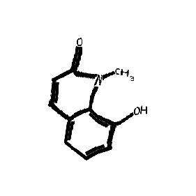 Cn1c(=O)ccc2cccc(O)c21